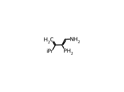 C=C(/C(P)=C/N)C(C)C